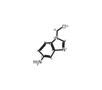 Nc1ccc2c(c1)ncn2CCl